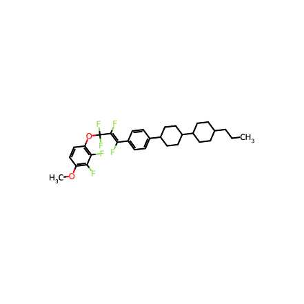 CCCC1CCC(C2CCC(c3ccc(/C(F)=C(\F)C(F)(F)Oc4ccc(OC)c(F)c4F)cc3)CC2)CC1